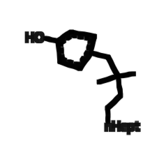 CCCCCCCCCC(C)(C)Cc1ccc(O)cc1